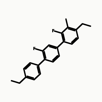 CCc1ccc(-c2ccc(-c3ccc(CC)c(C)c3F)cc2F)cc1